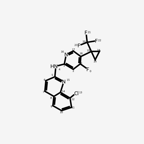 Fc1cc(Nc2ccc3cccc(Cl)c3n2)ncc1C1(C(F)(F)F)CC1